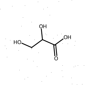 O=C(O)C(O)[CH]O